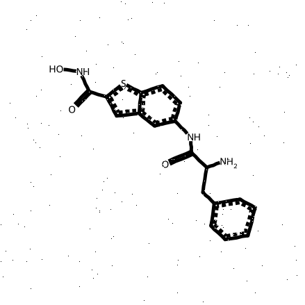 NC(Cc1ccccc1)C(=O)Nc1ccc2sc(C(=O)NO)cc2c1